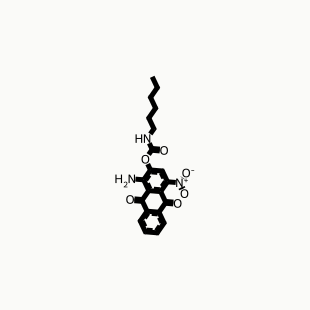 CCCCCCNC(=O)Oc1cc([N+](=O)[O-])c2c(c1N)C(=O)c1ccccc1C2=O